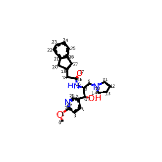 COc1ccc(C(O)C(CN2CCCC2)NC(=O)CC2Cc3ccccc3C2)cn1